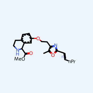 CCC/C=C/c1nc(CCOc2ccc3c(c2)C(C(=O)OC)NCC3)c(C)o1